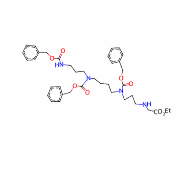 CCOC(=O)CNCCCN(CCCCN(CCCNC(=O)OCc1ccccc1)C(=O)OCc1ccccc1)C(=O)OCc1ccccc1